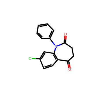 O=C1CCC(=O)N(c2ccccc2)c2cc(Cl)ccc21